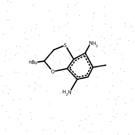 CCCCC1CSc2c(N)c(C)cc(N)c2O1